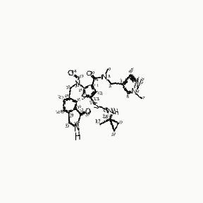 CN(Cc1cnn(C)c1)C(=O)c1cc(SNC2(C)CC2)sc1N(C=O)Cc1ccc2c(c1)C(=O)NC2